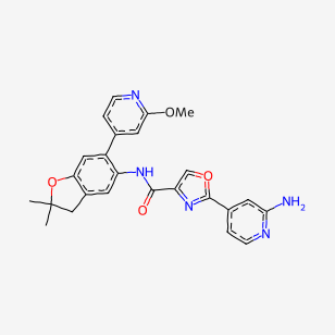 COc1cc(-c2cc3c(cc2NC(=O)c2coc(-c4ccnc(N)c4)n2)CC(C)(C)O3)ccn1